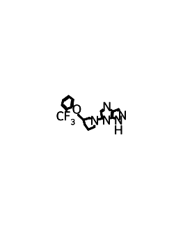 FC(F)(F)c1ccccc1OCC1CCCN(c2cnc3cn[nH]c3n2)C1